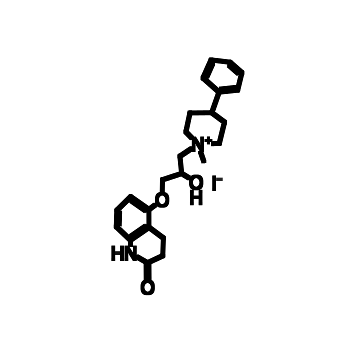 C[N+]1(CC(O)COc2cccc3c2CCC(=O)N3)CCC(c2ccccc2)CC1.[I-]